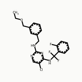 CCOCc1cccc(CNc2ncc(Cl)c(NC(F)(F)c3ccccc3F)n2)c1